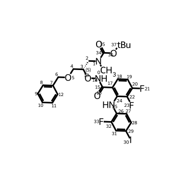 CN(C[C@@H](COCc1ccccc1)ONC(=O)c1ccc(F)c(F)c1Nc1ccc(I)cc1F)C(=O)OC(C)(C)C